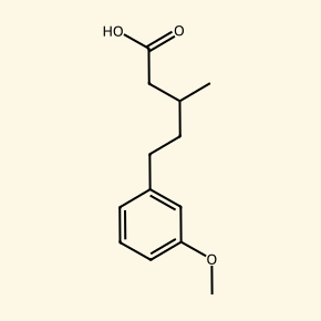 COc1cccc(CCC(C)CC(=O)O)c1